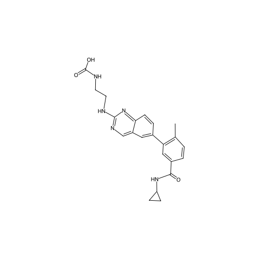 Cc1ccc(C(=O)NC2CC2)cc1-c1ccc2nc(NCCNC(=O)O)ncc2c1